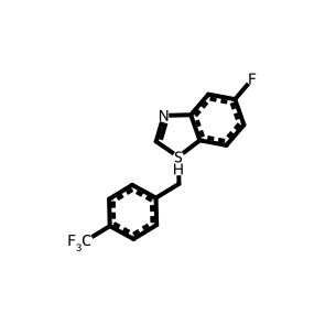 Fc1ccc2c(c1)N=C[SH]2Cc1ccc(C(F)(F)F)cc1